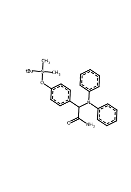 CC(C)(C)[Si](C)(C)Oc1ccc(C(C(N)=O)N(c2ccccc2)c2ccccc2)cc1